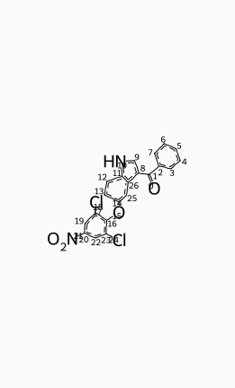 O=C(c1ccccc1)c1c[nH]c2ccc(Oc3c(Cl)cc([N+](=O)[O-])cc3Cl)cc12